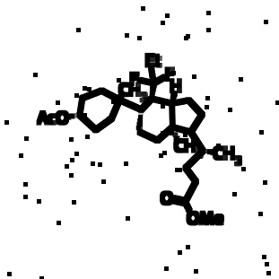 CCC(F)(F)[C@H]1[C@@H]2CCC([C@H](C)CCC(=O)OC)[C@@]2(C)CC[C@@H]1[C@]1(C)CC[C@H](OC(C)=O)CC1